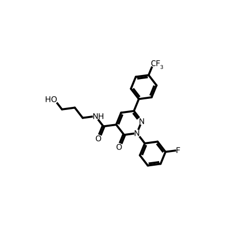 O=C(NCCCO)c1cc(-c2ccc(C(F)(F)F)cc2)nn(-c2cccc(F)c2)c1=O